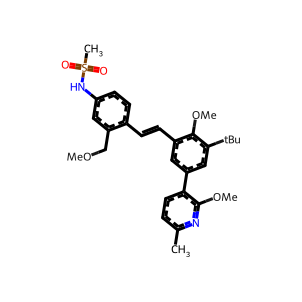 COCc1cc(NS(C)(=O)=O)ccc1/C=C/c1cc(-c2ccc(C)nc2OC)cc(C(C)(C)C)c1OC